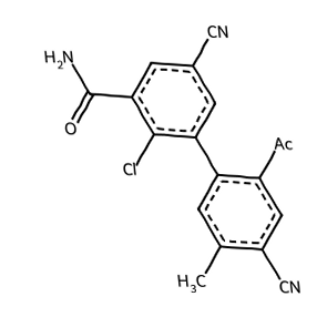 CC(=O)c1cc(C#N)c(C)cc1-c1cc(C#N)cc(C(N)=O)c1Cl